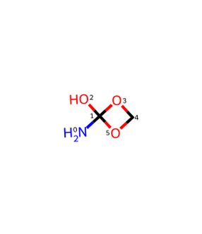 NC1(O)OCO1